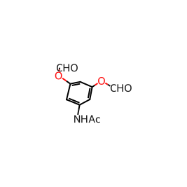 CC(=O)Nc1cc(OC=O)cc(OC=O)c1